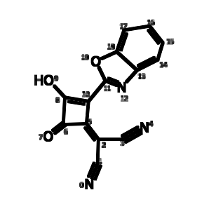 N#CC(C#N)=C1C(=O)C(O)=C1c1nc2ccccc2o1